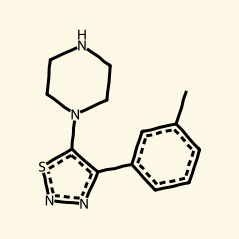 Cc1cccc(-c2nnsc2N2CCNCC2)c1